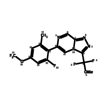 COC(F)(F)c1nnc2cnc(-c3c(C)cc(OC(F)(F)F)cc3F)cn12